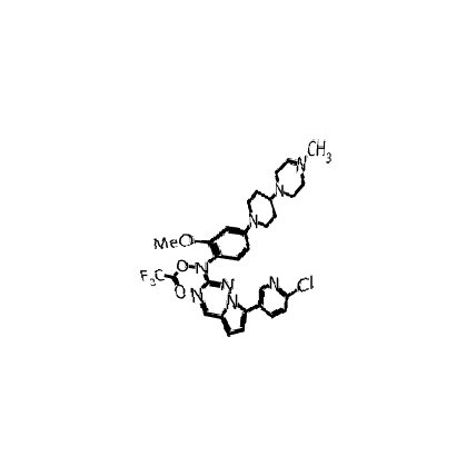 COc1cc(N2CCC(N3CCN(C)CC3)CC2)ccc1N(OC(=O)C(F)(F)F)c1ncc2ccc(-c3ccc(Cl)nc3)n2n1